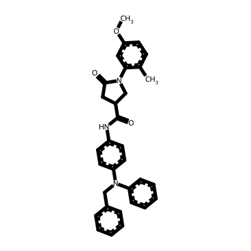 COc1ccc(C)c(N2CC(C(=O)Nc3ccc(N(Cc4ccccc4)c4ccccc4)cc3)CC2=O)c1